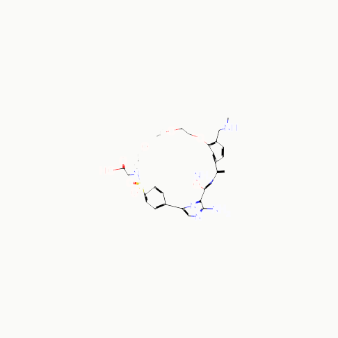 C=C1/C=C(\ON)c2nc(cnc2N)-c2ccc(cc2)S(=O)(=O)N(CC(=O)O)CCOCCOCCOc2cc1ccc2CNC